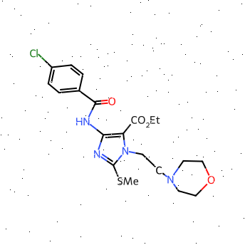 CCOC(=O)c1c(NC(=O)c2ccc(Cl)cc2)nc(SC)n1CCN1CCOCC1